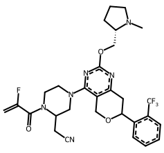 C=C(F)C(=O)N1CCN(c2nc(OC[C@@H]3CCCN3C)nc3c2COC(c2ccccc2C(F)(F)F)C3)CC1CC#N